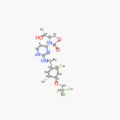 C[C@H](Nc1nccc(N2C(=O)OCC2[C@@H](C)O)n1)c1cc(F)c(OCC(F)(F)F)cc1F